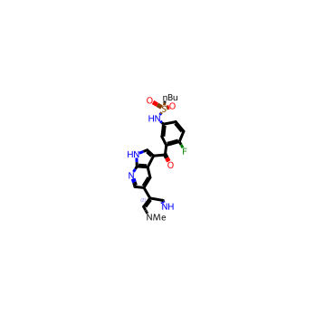 CCCCS(=O)(=O)Nc1ccc(F)c(C(=O)c2c[nH]c3ncc(/C(C=N)=C/NC)cc23)c1